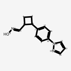 ON=CC1CCC1c1ccc(-n2cccn2)cc1